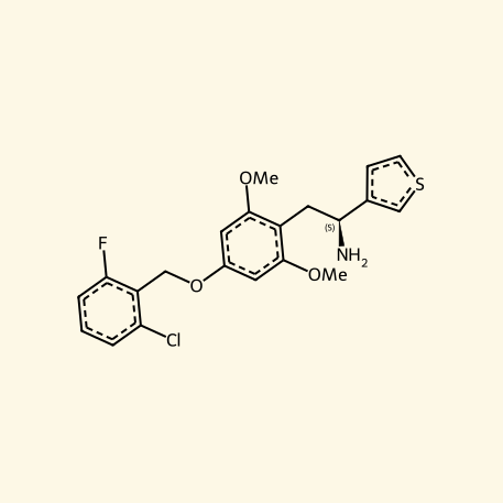 COc1cc(OCc2c(F)cccc2Cl)cc(OC)c1C[C@H](N)c1ccsc1